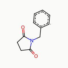 O=C1CCC(=O)N1Cc1[c]cccc1